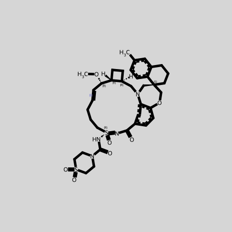 CO[C@H]1/C=C/CCC[S@@](=O)(NC(=O)N2CCS(=O)(=O)CC2)=NC(=O)c2ccc3c(c2)N(C[C@@H]2CC[C@H]21)C[C@@]1(CCCc2cc(C)ccc21)CO3